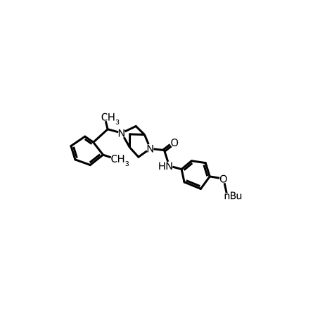 CCCCOc1ccc(NC(=O)N2CC3CC2CN3C(C)c2ccccc2C)cc1